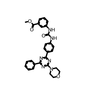 COC(=O)c1cccc(NC(=O)Nc2ccc(-c3nc(-c4ccccc4)nc(N4CCOCC4)n3)cc2)c1